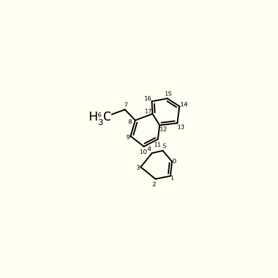 C1=CCCCC1.CCc1cccc2ccccc12